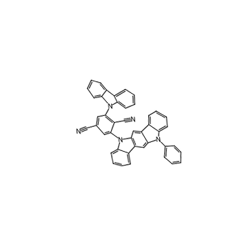 N#Cc1cc(-n2c3ccccc3c3ccccc32)c(C#N)c(-n2c3ccccc3c3cc4c(cc32)c2ccccc2n4-c2ccccc2)c1